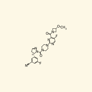 COC1CN(C(=O)c2nc(N3CCN(C(=O)N4N=CC[C@H]4c4cc(F)cc(C#N)c4)CC3)ncc2F)C1